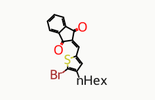 CCCCCCc1cc(C=C2C(=O)c3ccccc3C2=O)sc1Br